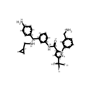 NCc1cccc(-n2nc(C(F)(F)F)cc2C(=O)Nc2cccc([C@H](NCC3CC3)c3ccc(N)cc3)c2)c1